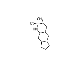 CCC1(C)CCC2CC3CCCC3CC2N1